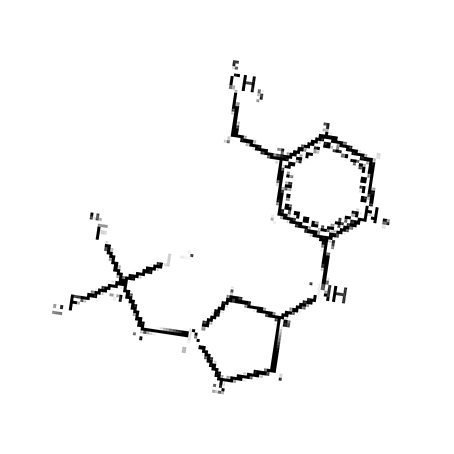 CCc1ccnc(NC2CCN(CC(F)(F)F)C2)c1